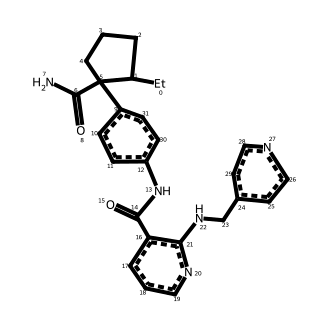 CCC1CCCC1(C(N)=O)c1ccc(NC(=O)c2cccnc2NCc2ccncc2)cc1